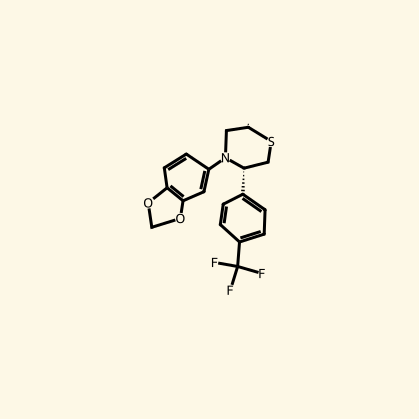 FC(F)(F)c1ccc([C@H]2CS[CH]CN2c2ccc3c(c2)OCO3)cc1